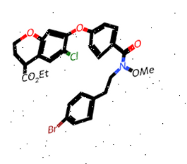 CCOC(=O)C1CCOc2cc(Oc3ccc(C(=O)N(CCc4ccc(Br)cc4)OC)cc3)c(Cl)cc21